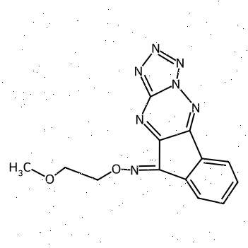 COCCON=C1c2ccccc2-c2nn3nnnc3nc21